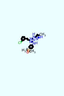 Cc1cc(Nc2nc(/C=C/c3cccc(Cl)c3)nc(Nc3ccc(P(C)(C)=O)cc3)n2)n[nH]1